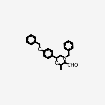 CC1OC(c2ccc(OCc3ccccc3)cc2)CN(Cc2ccccc2)C1C=O